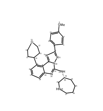 COc1ccc(-c2nc3c4c(C5CCOCC5)cccc4nc(N[C@@H]4CCCCNC4)n3n2)cc1